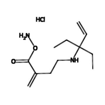 C=CC(CC)(CC)NCCC(=C)C(=O)ON.Cl